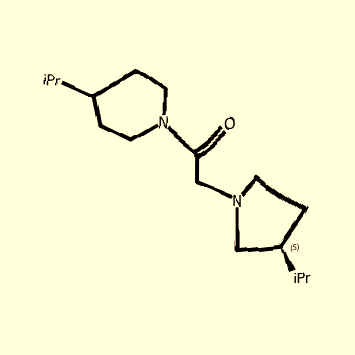 CC(C)C1CCN(C(=O)CN2CC[C@@H](C(C)C)C2)CC1